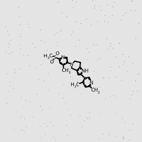 Cc1cc(C)c(-c2cc3c([nH]2)CCN(c2cnc(S(C)(=O)=O)cc2C)C3)cn1